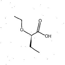 CCO[C@H](CC)C(=O)O